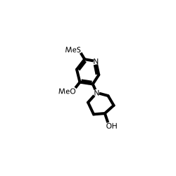 COc1cc(SC)ncc1N1CCC(O)CC1